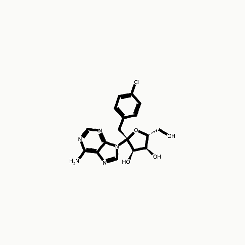 Nc1ncnc2c1ncn2[C@]1(Cc2ccc(Cl)cc2)O[C@H](CO)[C@@H](O)[C@H]1O